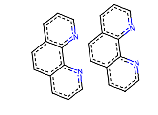 O.c1cnc2c(c1)ccc1cccnc12.c1cnc2c(c1)ccc1cccnc12